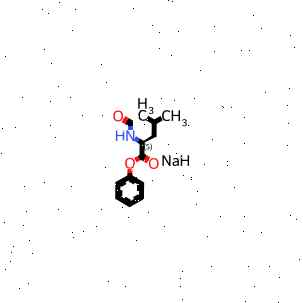 CC(C)C[C@H](NC=O)C(=O)Oc1ccccc1.[NaH]